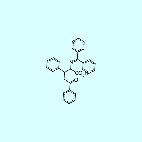 O=C(CC(c1ccccc1)C(N=C(c1ccccc1)c1ccccc1)C(=O)O)c1ccccc1